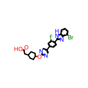 O=C(O)CC1CCC(Oc2ncc(-c3ccc(-c4nc5c(Br)cccc5[nH]4)c(F)c3)cn2)CC1